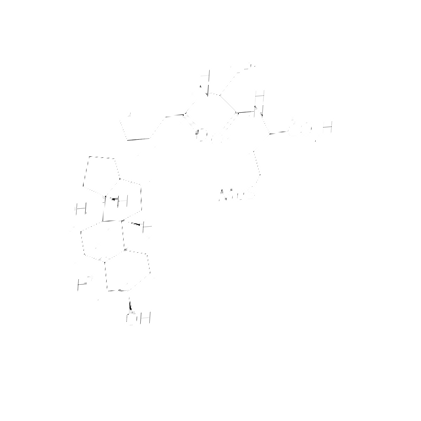 CSCCC(NC(=O)C(NC(=O)CCC(C)[C@H]1CC[C@H]2[C@@H]3CC[C@@H]4C[C@H](O)CC[C@]4(C)[C@H]3CC[C@]12C)C(C)C)C(=O)O